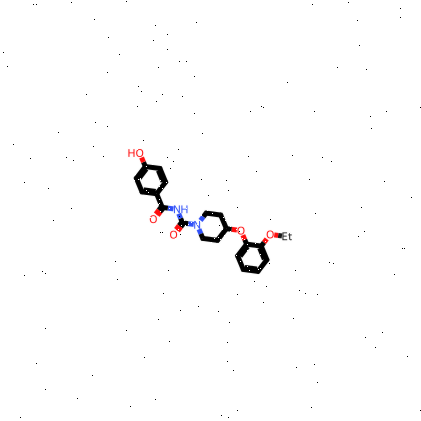 CCOc1ccccc1OC1CCN(C(=O)NC(=O)c2ccc(O)cc2)CC1